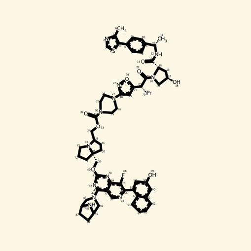 Cc1ncsc1-c1ccc([C@H](C)NC(=O)[C@@H]2C[C@@H](O)CN2C(=O)[C@@H](c2cc(N3CCN(C(=O)OCC4CC[C@@]5(COc6nc(N7CC8CCC(C7)N8)c7cnc(-c8cc(O)cc9ccccc89)c(F)c7n6)CCCN45)CC3)no2)C(C)C)cc1